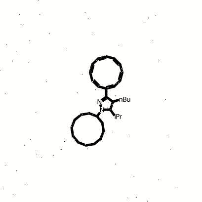 CCCCC1C(C2=C/C=C\C=C/C=C\C=C/C=C\2)=NN(C2CCCCCCCCCCC2)C1C(C)C